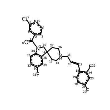 O=C(c1ccnc(Cl)c1)N1CC2(CCN(C/C=C/c3ccc(F)cc3F)CC2)c2cc(F)ccc21